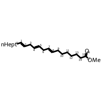 CCCCCCCC=CCC=CCC=CCCCCCCC(=O)OC